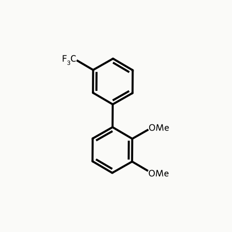 COc1cccc(-c2cccc(C(F)(F)F)c2)c1OC